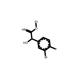 CCOC(=N)C(O)c1ccc(F)c(Br)c1